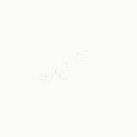 COc1cccc(OC2CCN(c3ccc(-c4ccc5cn[nH]c5c4)c(OC)n3)C2=O)c1